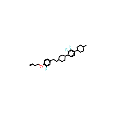 C=CCCOc1ccc(CCC2CCC(c3ccc(C4CCC(C)CC4)c(F)c3F)CC2)cc1F